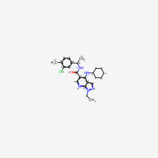 CCn1ncc2c(NC3CCCCC3)c(C(=O)NC(C)c3ccc(C)c(Cl)c3)cnc21